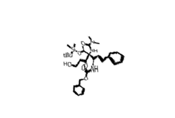 C[C@H](O[Si](C)(C)C(C)(C)C)[C@@](NC(=O)N(C)C)(C(=O)CCO)[C@@H](/C=C/c1ccccc1)NC(=O)OCc1ccccc1